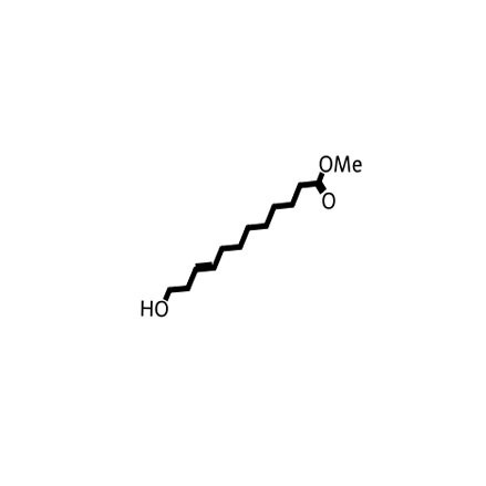 COC(=O)CCCCCCCC=CCCO